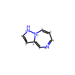 C1=CN2NC=CC2=CN=C1